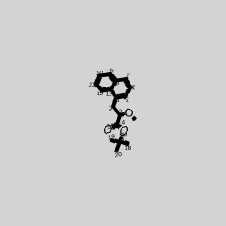 COC(Cc1cccc2ccccc12)C(=O)OC(C)(C)C